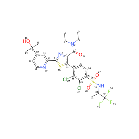 CCN(CC)C(=O)c1nc(-c2cc(C(C)(C)O)ccn2)sc1-c1ccc(S(=O)(=O)NC(C)C(F)(F)F)c(Cl)c1Cl